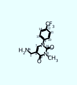 Cn1c(=O)c(CN)cn(-c2ccc(C(F)(F)F)cc2)c1=O